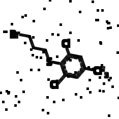 FC(F)(F)c1cc(Cl)c(SCCCBr)c(Cl)c1